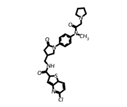 CN(C(=O)CN1CCCC1)c1ccc(N2CC(CNC(=O)C3C=C4N=C(Cl)C=CC4S3)CC2=O)cc1